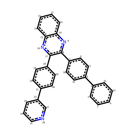 c1ccc(-c2ccc(-c3nc4ccccc4nc3-c3ccc(-c4cccnc4)cc3)cc2)cc1